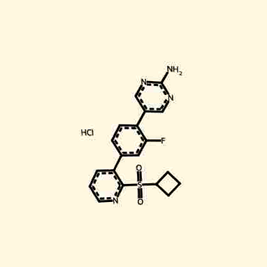 Cl.Nc1ncc(-c2ccc(-c3cccnc3S(=O)(=O)C3CCC3)cc2F)cn1